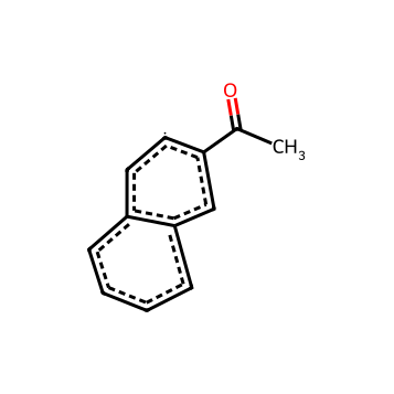 CC(=O)c1[c]cc2ccccc2c1